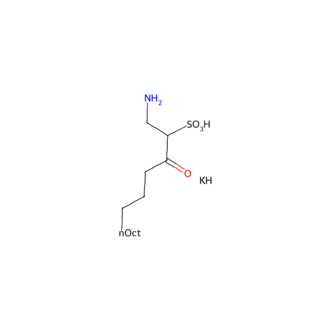 CCCCCCCCCCCC(=O)C(CN)S(=O)(=O)O.[KH]